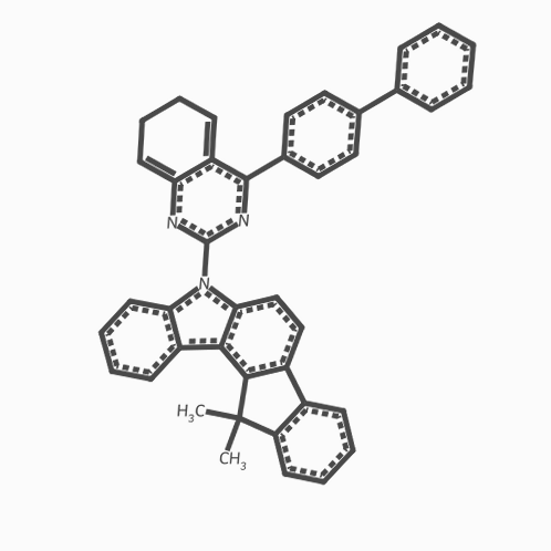 CC1(C)c2ccccc2-c2ccc3c(c21)c1ccccc1n3-c1nc(-c2ccc(-c3ccccc3)cc2)c2c(n1)=CCCC=2